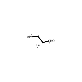 CCCCCC=O.[Fe]